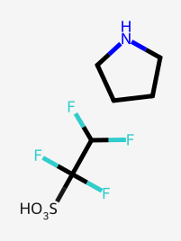 C1CCNC1.O=S(=O)(O)C(F)(F)C(F)F